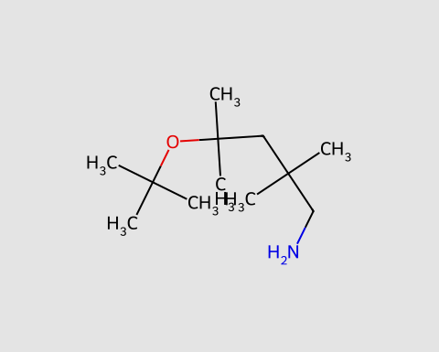 CC(C)(CN)CC(C)(C)OC(C)(C)C